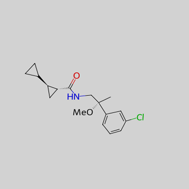 CO[C@@](C)(CNC(=O)[C@@H]1C[C@H]1C1CC1)c1cccc(Cl)c1